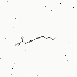 CCCCCC#CC#CCC(=O)O